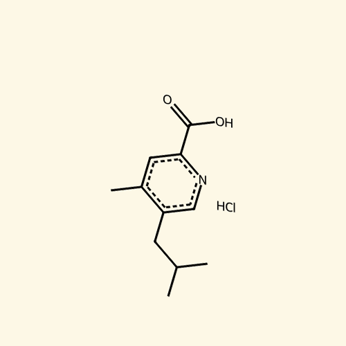 Cc1cc(C(=O)O)ncc1CC(C)C.Cl